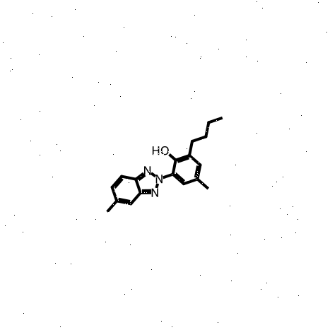 CCCCc1cc(C)cc(-n2nc3ccc(C)cc3n2)c1O